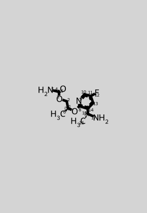 C[C@@H](COC(N)=O)Oc1ncc(F)cc1[C@@H](C)N